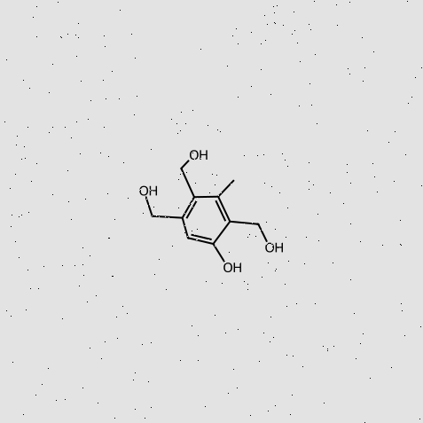 Cc1c(CO)c(O)cc(CO)c1CO